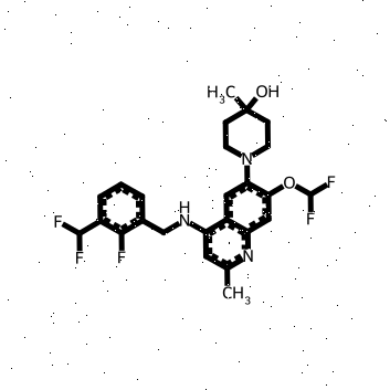 Cc1cc(NCc2cccc(C(F)F)c2F)c2cc(N3CCC(C)(O)CC3)c(OC(F)F)cc2n1